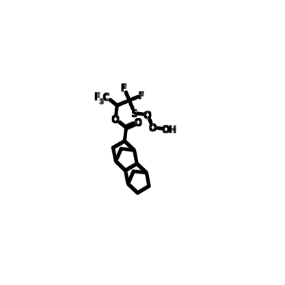 O=C(OC(C(F)(F)F)C(F)(F)SOOO)C1CC2CC1C1C3CCC(C3)C21